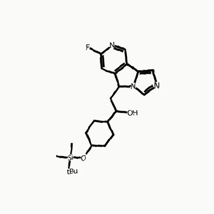 CC(C)(C)[Si](C)(C)OC1CCC(C(O)CC2c3cc(F)ncc3-c3cncn32)CC1